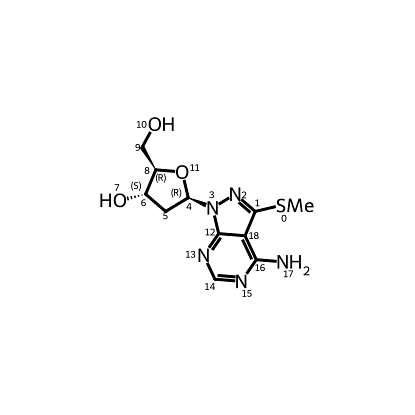 CSc1nn([C@H]2C[C@H](O)[C@@H](CO)O2)c2ncnc(N)c12